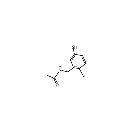 CC(=O)NCc1cc(S)ccc1F